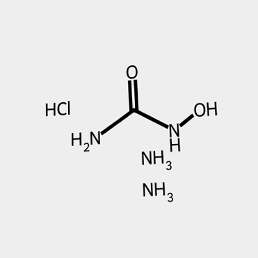 Cl.N.N.NC(=O)NO